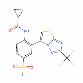 CS(=O)(=O)c1ccc(NC(=O)C2CC2)c(-c2csc3nc(C(F)(F)F)nn23)c1